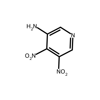 Nc1cncc([N+](=O)[O-])c1[N+](=O)[O-]